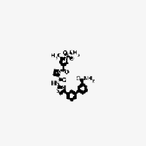 Cc1cc(C(=O)N2CC[C@H]2C(=O)Nc2nc(-c3cccc(-c4cccc(C(N)=O)c4)c3)cs2)cn1S(C)(=O)=O